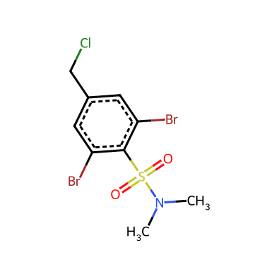 CN(C)S(=O)(=O)c1c(Br)cc(CCl)cc1Br